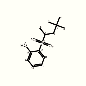 CC(CC(C)(C)C)S(=O)(=O)c1ccccc1O